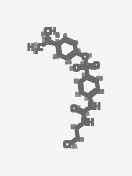 CN(C)c1ccc(OS(=O)(=O)c2ccc(NC(=O)NCCCl)cc2)cc1